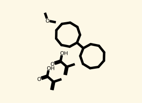 C1CCCCC(C2CCCCCCCC2)CCC1.C=C(C)C(=O)O.C=C(C)C(=O)O.COC